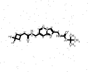 CC(C)(C)OC(=O)NCc1cn2ncc(CNC(=O)CC3CC(F)(F)C3)cc2n1